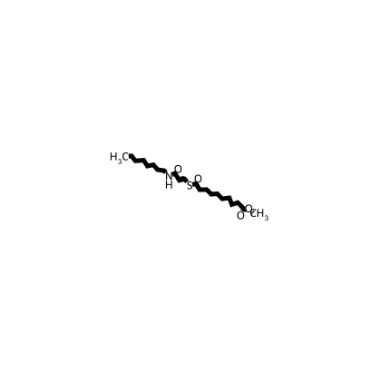 CCCCCCCCNC(=O)C=CSC(=O)CCCCCCCCC(=O)OC